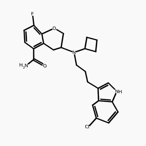 NC(=O)c1ccc(F)c2c1CC(N(CCCc1c[nH]c3ccc(Cl)cc13)C1CCC1)CO2